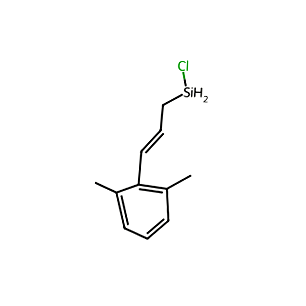 Cc1cccc(C)c1C=CC[SiH2]Cl